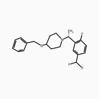 C[C@H](c1cc(C(F)F)ccc1F)N1CCC(OCc2ccccc2)CC1